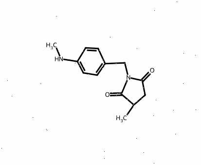 CNc1ccc(CN2C(=O)CC(C)C2=O)cc1